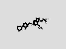 CCc1cc(OCc2ccc(C3CCCCC3)c(F)c2)cc2ccn(CCC(=O)O)c12